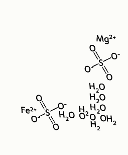 O.O.O.O.O.O.O.O=S(=O)([O-])[O-].O=S(=O)([O-])[O-].[Fe+2].[Mg+2]